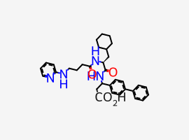 O=C(O)CC(NC(=O)[C@H](CC1CCCCC1)NC(=O)CCCNc1ccccn1)c1ccc(-c2ccccc2)cc1